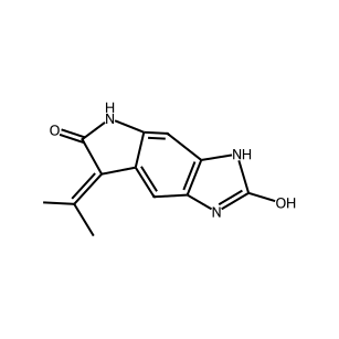 CC(C)=C1C(=O)Nc2cc3[nH]c(O)nc3cc21